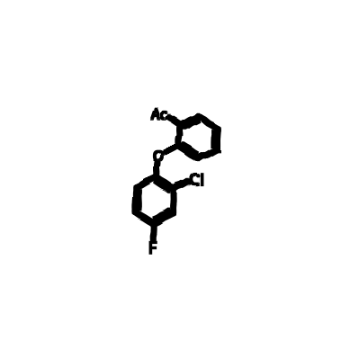 CC(=O)c1ccccc1Oc1ccc(F)cc1Cl